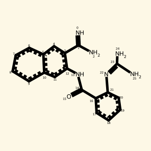 N=C(N)c1cc2ccccc2cc1NC(=O)c1ccccc1N=C(N)N